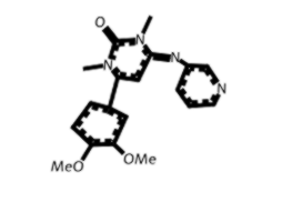 COc1ccc(-c2cc(=Nc3cccnc3)n(C)c(=O)n2C)cc1OC